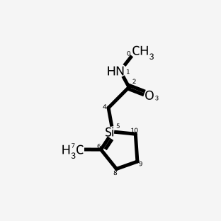 CNC(=O)C[Si]1=C(C)CCC1